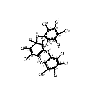 CC1(Cl)C(Oc2c(Cl)c(Cl)c(Cl)c(Cl)c2Cl)=C(Cl)C(Cl)=C(Cl)C1(C)Oc1c(Cl)c(Cl)c(Cl)c(Cl)c1Cl